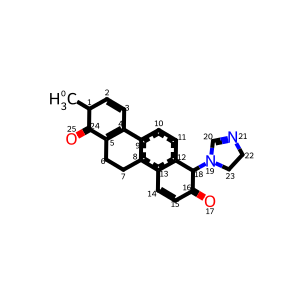 CC1C=CC2=C(CCc3c2ccc2c3C=CC(=O)C2N2C=NCC2)C1=O